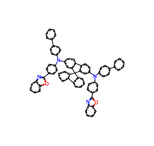 c1ccc(-c2ccc(N(c3ccc(-c4nc5ccccc5o4)cc3)c3ccc4c(c3)C3(c5ccccc5-c5ccccc53)c3cc(N(c5ccc(-c6ccccc6)cc5)c5ccc(-c6nc7ccccc7o6)cc5)ccc3-4)cc2)cc1